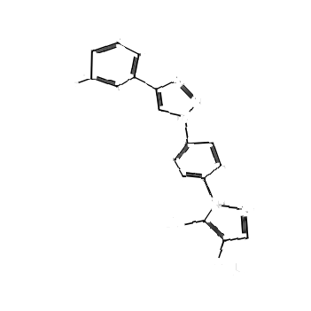 CCOC(=O)c1cnn(-c2ccc(-n3cc(-c4cccc(O)c4)nn3)cc2)c1C(F)(F)F